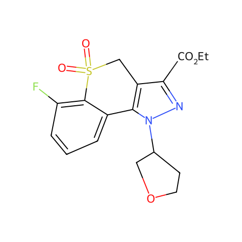 CCOC(=O)c1nn(C2CCOC2)c2c1CS(=O)(=O)c1c(F)cccc1-2